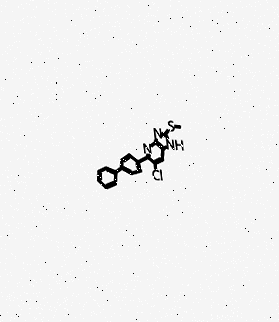 CSc1nc2nc(-c3ccc(-c4ccccc4)cc3)c(Cl)cc2[nH]1